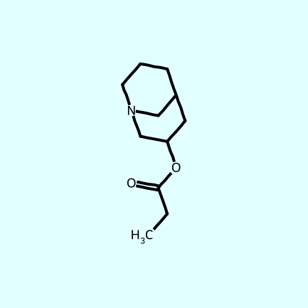 CCC(=O)OC1CC2CCCN(C2)C1